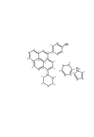 Brc1ccc(-c2cc3cccc4ccc5c(C6CCCCO6)ccc2c5c43)cc1.C1=CCOC=C1.c1cc[nH]c1